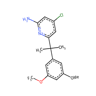 COc1cc(OC(F)(F)F)cc(C(C)(C)c2cc(Cl)cc(N)n2)c1